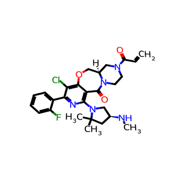 C=CC(=O)N1CCN2C(=O)c3c(N4C[C@@H](NC)CC4(C)C)nc(-c4ccccc4F)c(Cl)c3OC[C@H]2C1